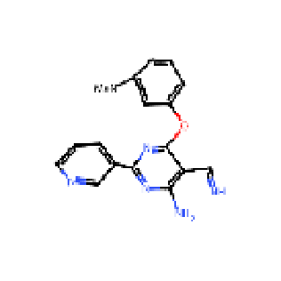 CNc1cccc(Oc2nc(-c3cccnc3)nc(N)c2C=N)c1